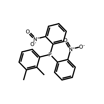 Cc1cccc(P(c2ccccc2[N+](=O)[O-])c2ccccc2[N+](=O)[O-])c1C